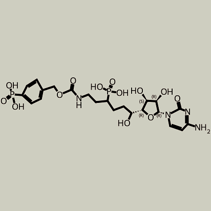 Nc1ccn([C@@H]2O[C@H](C(O)CCC(CCNC(=O)OCc3ccc(P(=O)(O)O)cc3)P(=O)(O)O)[C@@H](O)[C@H]2O)c(=O)n1